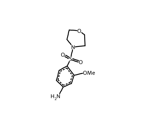 COc1cc(N)ccc1S(=O)(=O)N1CCOCC1